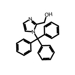 OCc1nccn1C(c1ccccc1)(c1ccccc1)c1ccccc1